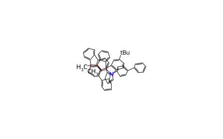 CC(C)(C)c1ccc2c(c1)C1(C3=C2C=CC3)c2ccccc2-c2cccc(-c3ccccc3N(c3ccc(-c4ccccc4)cc3)c3ccc4c(c3)C(C)(C)c3ccccc3-4)c21